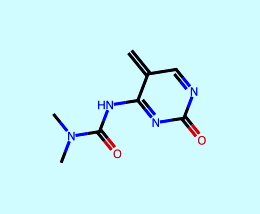 C=C1C=NC(=O)N=C1NC(=O)N(C)C